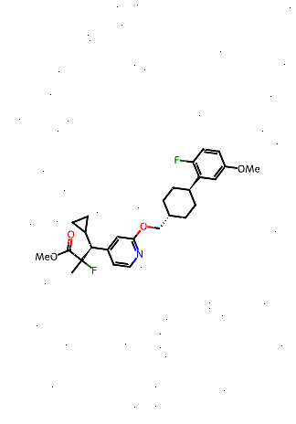 COC(=O)C(C)(F)[C@H](c1ccnc(OC[C@H]2CC[C@H](c3cc(OC)ccc3F)CC2)c1)C1CC1